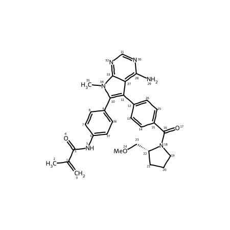 C=C(C)C(=O)Nc1ccc(-c2c(-c3ccc(C(=O)N4CCC[C@@H]4COC)cc3)c3c(N)ncnc3n2C)cc1